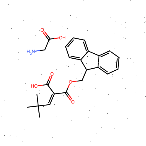 CC(C)(C)C=C(C(=O)O)C(=O)OCC1c2ccccc2-c2ccccc21.NCC(=O)O